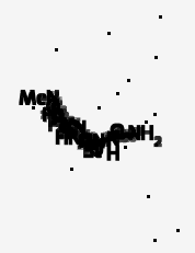 CCc1cc(Nc2nccn3c(-c4ccc(OCNC)c(F)c4F)cnc23)ccc1C(=O)NCCNC(=O)CCCN